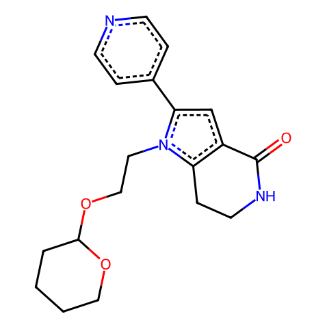 O=C1NCCc2c1cc(-c1ccncc1)n2CCOC1CCCCO1